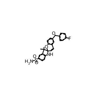 CC1(C)c2cc(S(N)(=O)=O)ccc2NC12C=Cc1cc(C(=O)c3ccc(F)cc3)ccc1O2